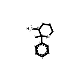 CC1(c2ccccc2)[N]CCCC1N